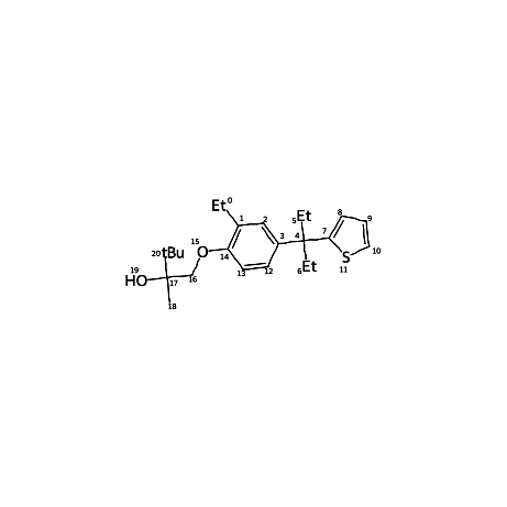 CCc1cc(C(CC)(CC)c2cccs2)ccc1OCC(C)(O)C(C)(C)C